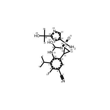 CC(C)c1c(F)c(C#N)cc(C2CC2)c1NC(O)N=S(N)(=O)c1cnc(C(C)(C)O)s1